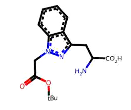 CC(C)(C)OC(=O)Cn1nc(CC(N)C(=O)O)c2ccccc21